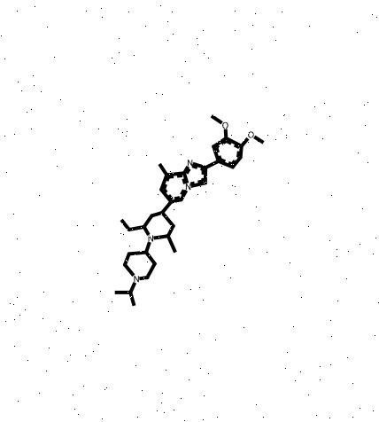 CCC1CC(c2cc(C)c3nc(-c4ccc(OC)c(OC)c4)cn3c2)CC(C)N1C1CCN(C(C)C)CC1